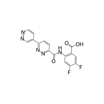 O=C(Nc1cc(F)c(F)cc1C(=O)O)c1ccc(-c2ccnnc2)nn1